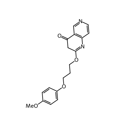 COc1ccc(OCCCOC2=Nc3ccncc3C(=O)C2)cc1